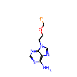 Nc1ncnc2c1ncn2CCOC[P]